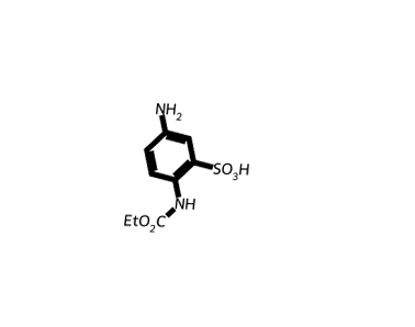 CCOC(=O)Nc1ccc(N)cc1S(=O)(=O)O